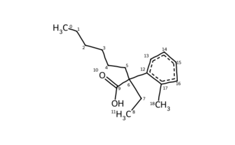 CCCCCCC(CC)(C(=O)O)c1ccccc1C